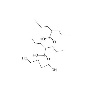 CCCC(CCC)C(=O)O.CCCC(CCC)C(=O)O.OCCCCO